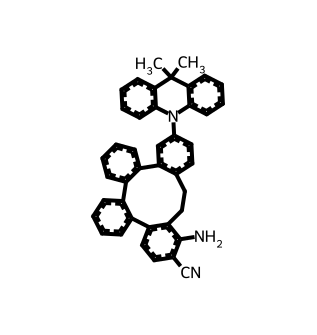 CC1(C)c2ccccc2N(c2ccc3c(c2)-c2ccccc2-c2ccccc2-c2ccc(C#N)c(N)c2CC3)c2ccccc21